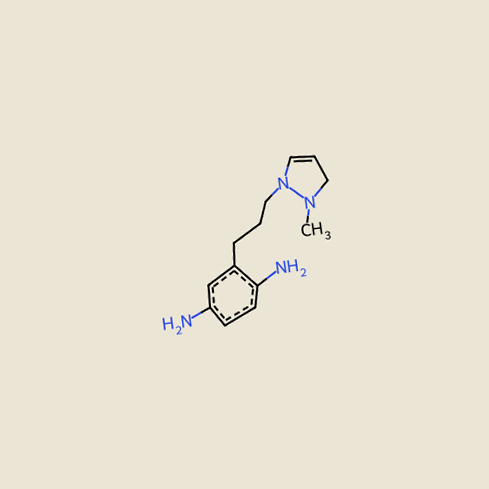 CN1CC=CN1CCCc1cc(N)ccc1N